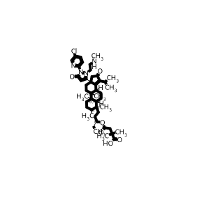 CC[C@H](CC[C@@]1(C)[C@H](C)CC[C@]2(C)[C@@H]1CC[C@@H]1C3=C(C(C)C)C(=O)C[C@]3(c3cc(=O)n(-c4ccc(Cl)cn4)n3CCNC)CC[C@]12C)OC(=O)CC(C)(C)C(=O)O